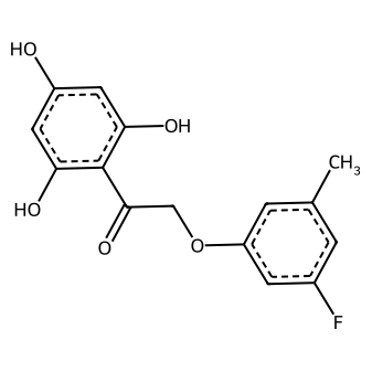 Cc1cc(F)cc(OCC(=O)c2c(O)cc(O)cc2O)c1